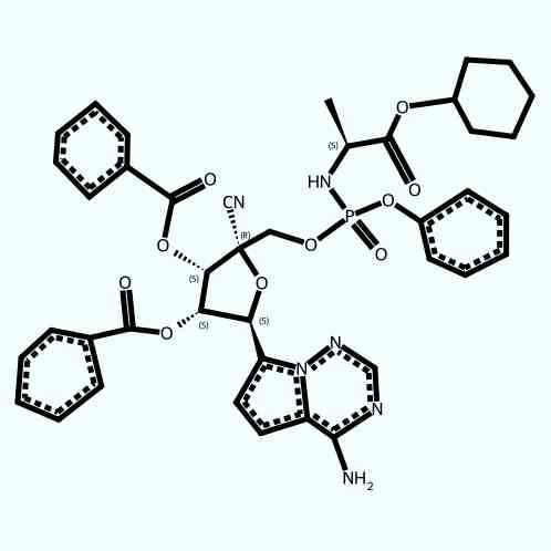 C[C@H](NP(=O)(OC[C@@]1(C#N)O[C@@H](c2ccc3c(N)ncnn23)[C@H](OC(=O)c2ccccc2)[C@@H]1OC(=O)c1ccccc1)Oc1ccccc1)C(=O)OC1CCCCC1